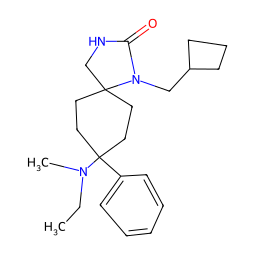 CCN(C)C1(c2ccccc2)CCC2(CC1)CNC(=O)N2CC1CCC1